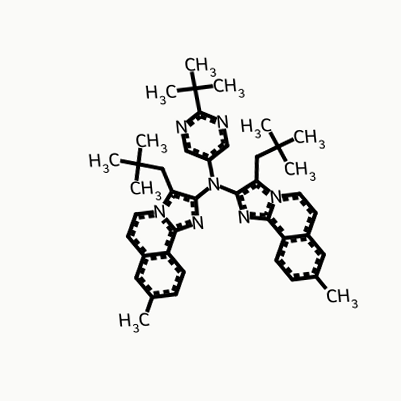 Cc1ccc2c(ccn3c(CC(C)(C)C)c(N(c4cnc(C(C)(C)C)nc4)c4nc5c6ccc(C)cc6ccn5c4CC(C)(C)C)nc23)c1